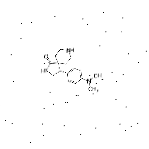 CN(C)c1ccc(C2CNC(=O)C23CCNCC3)cc1